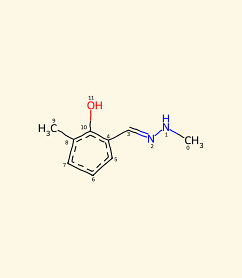 CN/N=C/c1cccc(C)c1O